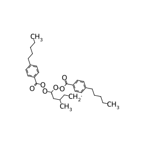 [CH2]CC(C)C[C](OOC(=O)c1ccc(CCCCC)cc1)OOC(=O)c1ccc(CCCCC)cc1